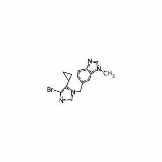 Cn1cnc2ccc(Cn3cnc(Br)c3C3CC3)cc21